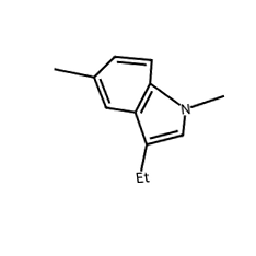 CCc1cn(C)c2ccc(C)cc12